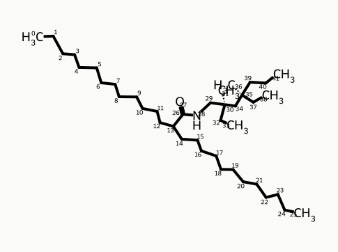 CCCCCCCCCCCCCC(CCCCCCCCCCCC)C(=O)NC[C@](C)(CC)C[C@](C)(CC)CCC